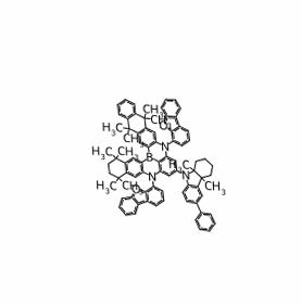 CC1(C)CCC(C)(C)c2cc3c(cc21)B1c2cc4c(cc2N(c2cccc5c2oc2ccccc25)c2cc(N5c6ccc(-c7ccccc7)cc6C6(C)CCCCC56C)cc(c21)N3c1cccc2c1oc1ccccc12)C(C)(C)c1ccccc1C4(C)C